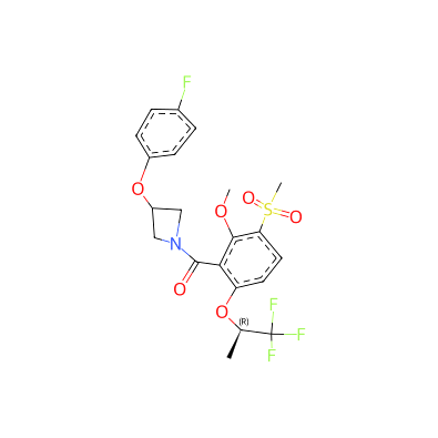 COc1c(S(C)(=O)=O)ccc(O[C@H](C)C(F)(F)F)c1C(=O)N1CC(Oc2ccc(F)cc2)C1